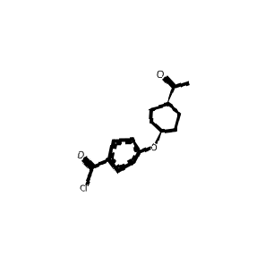 CC(=O)[C@H]1CC[C@@H](Oc2ccc(C(=O)Cl)cc2)CC1